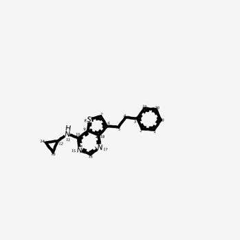 c1ccc(CCc2csc3c(NC4CC4)ncnc23)cc1